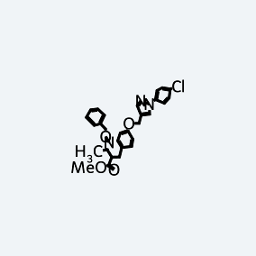 COC(=O)C(Cc1ccc(OCc2cnn(-c3ccc(Cl)cc3)c2)cc1)C(C)=NOCc1ccccc1